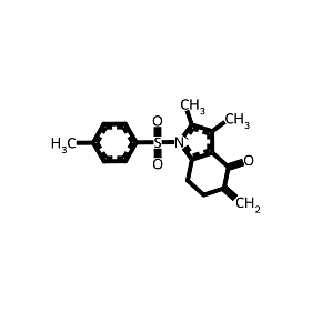 C=C1CCc2c(c(C)c(C)n2S(=O)(=O)c2ccc(C)cc2)C1=O